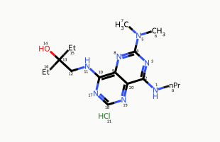 CCCNc1nc(N(C)C)nc2c(NCC(O)(CC)CC)ncnc12.Cl